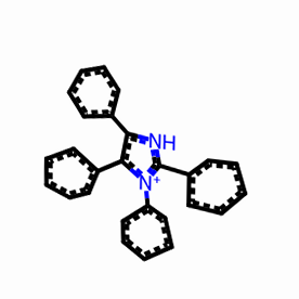 c1ccc(-c2[nH]c(-c3ccccc3)[n+](-c3ccccc3)c2-c2ccccc2)cc1